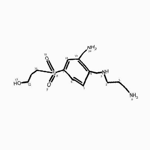 NCCNc1ccc(S(=O)(=O)CCO)cc1N